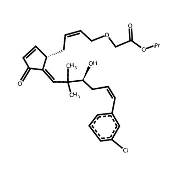 CC(C)OC(=O)COC/C=C\C[C@H]1C=CC(=O)/C1=C/C(C)(C)[C@@H](O)C/C=C\c1cccc(Cl)c1